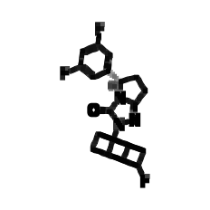 O=c1n(C23C4C5C2C2C3C4C52F)nc2n1[C@H](c1cc(F)cc(F)c1)CC2